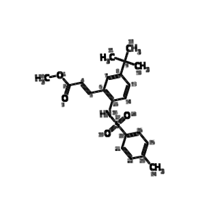 COC(=O)C=Cc1cc(C(C)(C)C)ccc1NS(=O)(=O)c1ccc(C)cc1